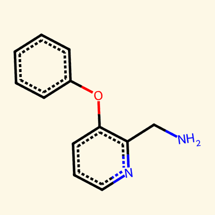 NCc1ncccc1Oc1ccccc1